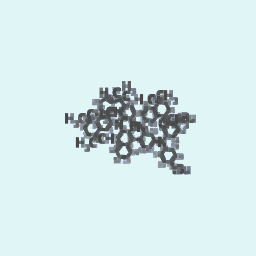 Cc1cc2c(cc1N1c3cc4ccccc4c4c3B(c3ccc5c(c31)-c1ccccc1C5(C)C)N(c1ccc3c(c1)C(C)(C)CCC3(C)C)c1cc(N(c3ccc(C(C)(C)C)cc3)c3ccc(C(C)(C)C)cc3)ccc1-4)C(C)(C)CCC2(C)C